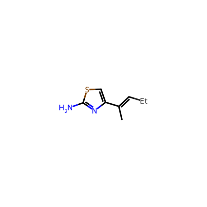 CCC=C(C)c1csc(N)n1